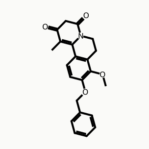 COc1c(OCc2ccccc2)ccc2c1CCN1C(=O)CC(=O)C(C)=C21